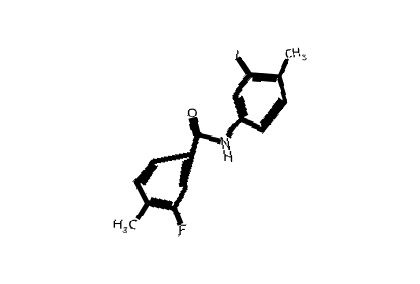 Cc1ccc(C(=O)Nc2ccc(C)c(I)c2)cc1F